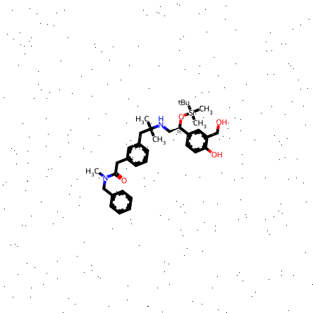 CN(Cc1ccccc1)C(=O)Cc1cccc(CC(C)(C)NC[C@@H](O[Si](C)(C)C(C)(C)C)c2ccc(O)c(CO)c2)c1